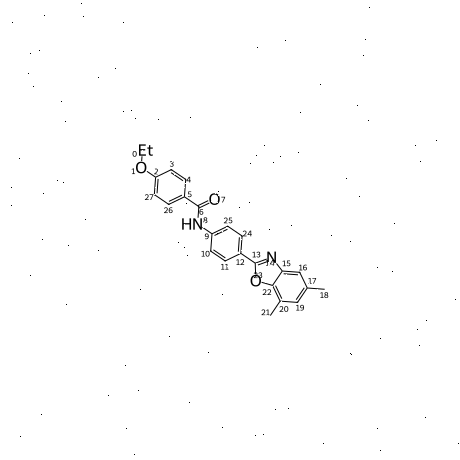 CCOc1ccc(C(=O)Nc2ccc(-c3nc4cc(C)cc(C)c4o3)cc2)cc1